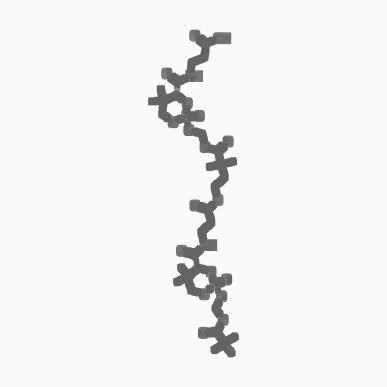 CC(C)(C)C(=O)OCO[P@]1(=O)OCC(C)(C)[C@H](C(=O)NCCC(=O)OCCC(C)(C)C(=O)OCO[P@@]2(=O)OCC(C)(C)[C@H](C(=O)NCCC(=O)O)O2)O1